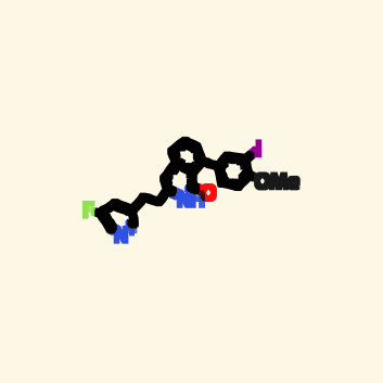 COc1ccc(-c2cccc3cc(CCC4=CC(F)=C=[N+]=C4)[nH]c(=O)c23)cc1I